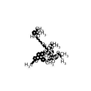 CC#CC12CCC3C4CCC5=CC(=O)CCC5=C4C(c4ccc(N(C)CCCC(=O)N5CCN(C(=O)C(C)CC)CC5C(=O)N5CCN(C(=O)OC(C)(C)C)CC5C(=O)N(C)CCCCCCOCCCCCCNc5cccc(C(C)=O)c5C(C)=O)cc4)CC31O2